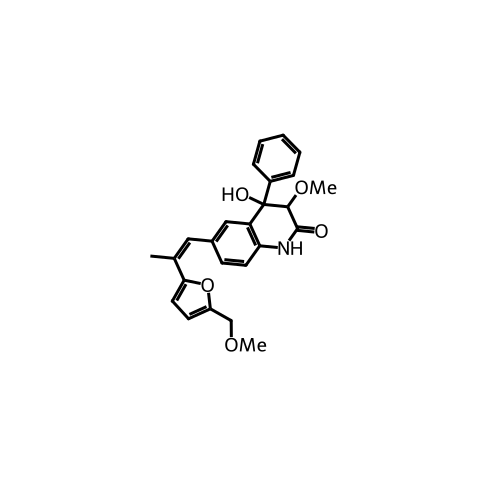 COCc1ccc(C(C)=Cc2ccc3c(c2)C(O)(c2ccccc2)C(OC)C(=O)N3)o1